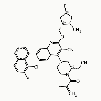 C=C(F)C(=O)N1CCN(C2=C(C#N)C(OC[C@@H]3C[C@@H](F)CN3C)=NC3C=C(c4cccc5ccc(F)c(Cl)c45)C=CC23)C[C@@H]1CC#N